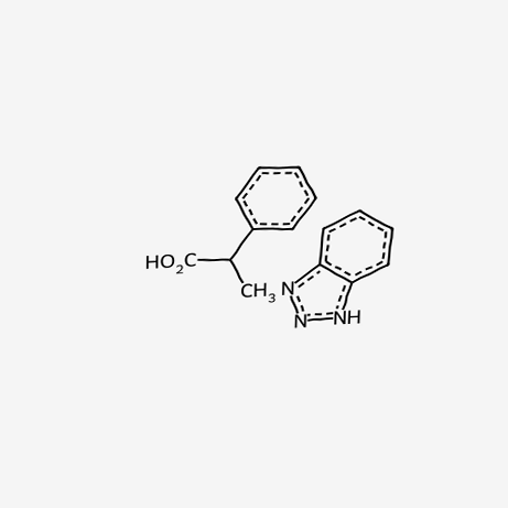 CC(C(=O)O)c1ccccc1.c1ccc2[nH]nnc2c1